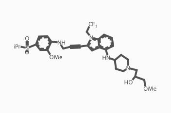 COCC(O)CN1CCC(Nc2cccc3c2cc(C#CCNc2ccc(S(=O)(=O)C(C)C)cc2OC)n3CC(F)(F)F)CC1